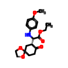 CCOC(=O)C(Nc1ccc(OC)cc1)[C@H]1CC2(CCC1=O)OCCO2